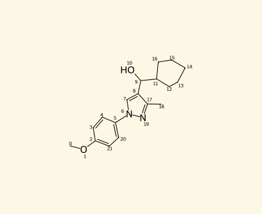 COc1ccc(-n2cc(C(O)C3CCCCC3)c(C)n2)cc1